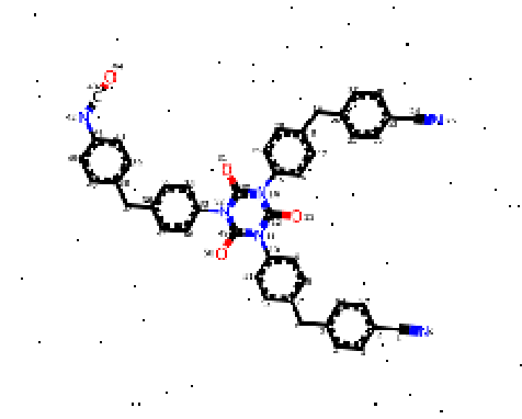 N#Cc1ccc(Cc2ccc(-n3c(=O)n(-c4ccc(Cc5ccc(C#N)cc5)cc4)c(=O)n(-c4ccc(Cc5ccc(N=C=O)cc5)cc4)c3=O)cc2)cc1